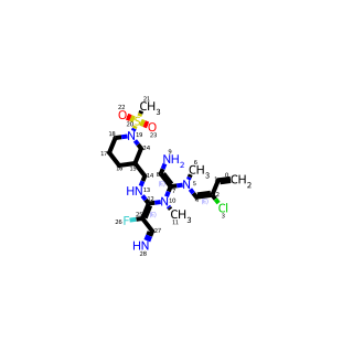 C=C/C(Cl)=C\N(C)/C(=C\N)N(C)/C(NCC1CCCN(S(C)(=O)=O)C1)=C(/F)C=N